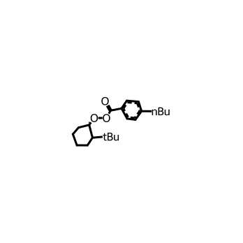 CCCCc1ccc(C(=O)OO[C]2CCCCC2C(C)(C)C)cc1